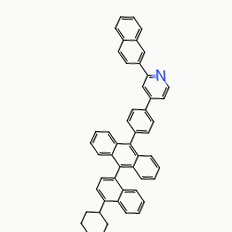 c1ccc2cc(-c3cc(-c4ccc(-c5c6ccccc6c(-c6ccc(C7CCCCC7)c7ccccc67)c6ccccc56)cc4)ccn3)ccc2c1